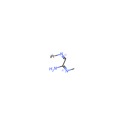 C/N=C(N)\C=N/C(C)C